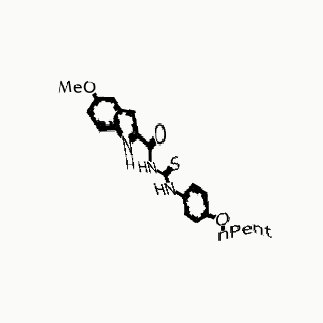 CCCCCOc1ccc(NC(=S)NC(=O)c2cc3cc(OC)ccc3[nH]2)cc1